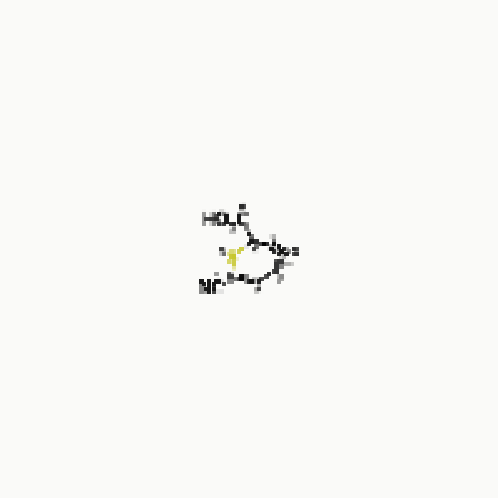 C#CC(SC(C#N)=CCC)C(=O)O